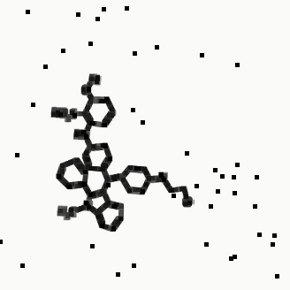 CCOc1cccc(Nc2ccc(C(=C3C=CC(=NCC[O])C=C3)c3c(-c4ccccc4)n(C)c4ccccc34)cc2)c1S(=O)(=O)O